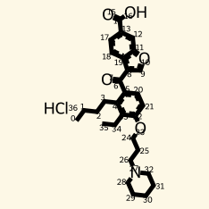 CCCCc1c(C(=O)c2coc3cc(C(=O)O)ccc23)ccc(OCCCN2CCCCC2)c1CC.Cl